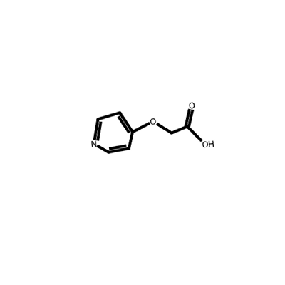 O=C(O)COc1ccncc1